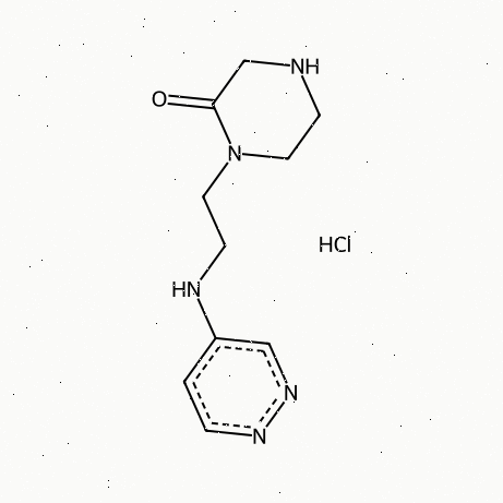 Cl.O=C1CNCCN1CCNc1ccnnc1